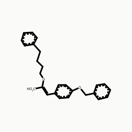 O=C(O)C(=Cc1ccc(OCc2ccccc2)cc1)OCCCCc1ccccc1